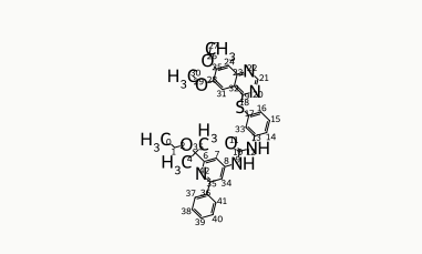 CCOC(C)(C)c1cc(NC(=O)Nc2cccc(Sc3ncnc4cc(OC)c(OC)cc34)c2)cc(-c2ccccc2)n1